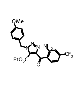 CCOC(=O)c1c(C(=O)c2ccc(C(F)(F)F)cc2N)nnn1Cc1ccc(OC)cc1